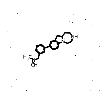 CN(C)Cc1cccc(-c2ccc3c(c2)CC2CCNCCN32)c1